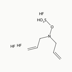 C=CCN(CC=C)OS(=O)(=O)O.F.F.F